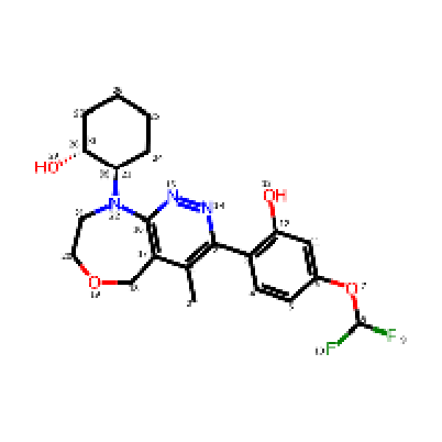 Cc1c(-c2ccc(OC(F)F)cc2O)nnc2c1COCCN2[C@@H]1CCCC[C@H]1O